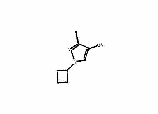 Cc1nn(C2CCC2)cc1O